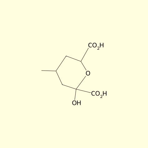 CC1CC(C(=O)O)OC(O)(C(=O)O)C1